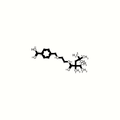 CC(C)C(C)(CC(C)(C)C)C(=O)OCCOCc1ccc(C(=O)O)cc1